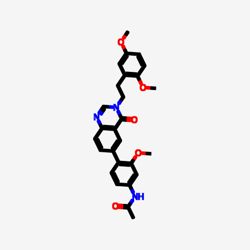 COc1ccc(OC)c(CCn2cnc3ccc(-c4ccc(NC(C)=O)cc4OC)cc3c2=O)c1